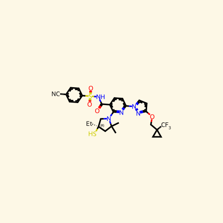 CC[C@]1(S)CN(c2nc(-n3ccc(OCC4(C(F)(F)F)CC4)n3)ccc2C(=O)NS(=O)(=O)c2ccc(C#N)cc2)C(C)(C)C1